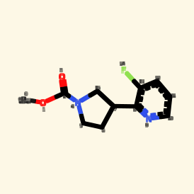 CC(C)(C)OC(=O)N1CCC(c2ncccc2F)C1